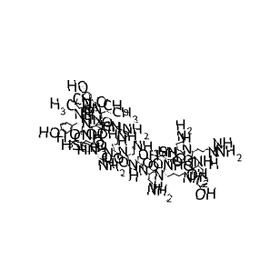 CC[C@H](C)[C@H](NC(=O)[C@@H]1C[C@@H](O)CN1C(=O)[C@@H](N)C(C)C)C(=O)N[C@H](C(=O)N[C@@H](Cc1ccc(O)cc1)C(=O)N[C@H](C(=O)N[C@@H](CC(N)=O)C(=O)N[C@@H](CCCNC(=N)N)C(=O)N[C@@H](CCN)C(=O)N[C@@H](CO)C(=O)N[C@H](CCN)C(=O)N[C@@H](CCCCN)C(=O)N[C@@H](CS)C(=O)N[C@@H](CCN)C(=O)N[C@@H](CCCNC(=N)N)C(=O)N[C@@H](Cc1ccc(O)cc1)C(=O)O)C(C)(C)S)[C@@H](C)O